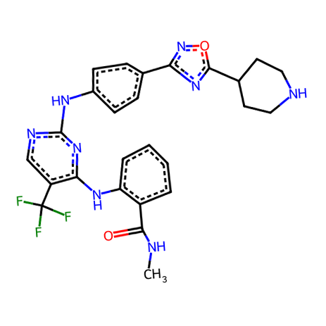 CNC(=O)c1ccccc1Nc1nc(Nc2ccc(-c3noc(C4CCNCC4)n3)cc2)ncc1C(F)(F)F